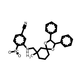 CC1(CNc2cc(C#N)ccc2[N+](=O)[O-])CCCC2(C1)OC(c1ccccc1)C(c1ccccc1)O2